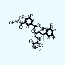 CCCN(CCC)C(=O)c1cc(C)cc(C(=O)O[C@H](CNC(CC)C(N)=O)[C@@H](N)Cc2cc(F)cc(F)c2)c1